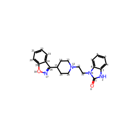 O=c1[nH]c2ccccc2n1CCN1CCC(c2noc3ccccc23)CC1